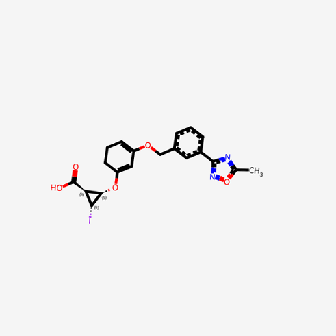 Cc1nc(-c2cccc(COC3=CCCC(O[C@@H]4[C@H](I)[C@H]4C(=O)O)=C3)c2)no1